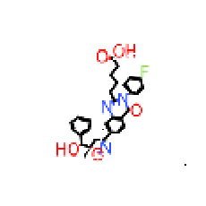 C[C@@]1(C(O)c2ccccc2)CC(c2ccc3c(=O)n(-c4ccc(F)cc4)c(CCCCC(=O)O)nc3c2)=NO1